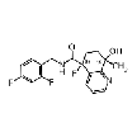 C[C@]1(O)CC[C@@](F)(C(=O)NCc2ccc(F)cc2F)c2cccnc21